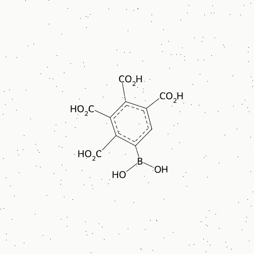 O=C(O)c1cc(B(O)O)c(C(=O)O)c(C(=O)O)c1C(=O)O